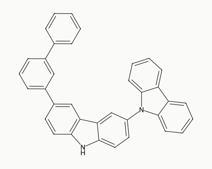 c1ccc(-c2cccc(-c3ccc4[nH]c5ccc(-n6c7ccccc7c7ccccc76)cc5c4c3)c2)cc1